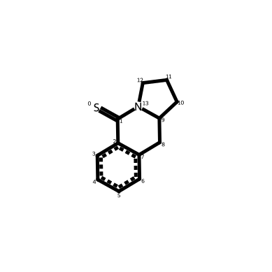 S=C1c2ccccc2CC2CCCN12